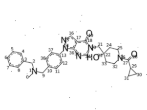 CN(Cc1ccccc1)Cc1ccc(-n2ncc3c(=O)n(CC4(O)CCN(C(=O)C5CC5)CC4)cnc32)cc1